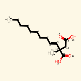 CCCCCCCCC=CC(C)(CC(=O)O)C(=O)O